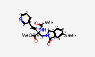 COC(=O)N[C@](C#Cc1cccnc1)(CN1Cc2ccc(OC)cc2C1=O)C(=O)OC